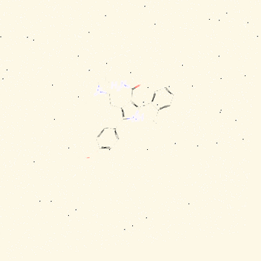 CN(C)CCc1c(-c2ccc(OC(F)(F)F)cc2)[nH]c(-c2ccccc2[N+](=O)[O-])c1C(N)=O